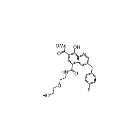 COC(=O)c1cc(C(=O)NCCOCCO)c2cc(Cc3ccc(F)cc3)cnc2c1O